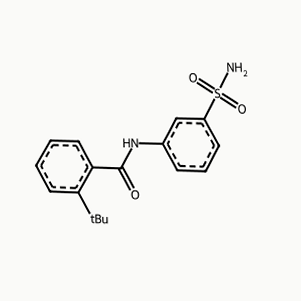 CC(C)(C)c1ccccc1C(=O)Nc1cccc(S(N)(=O)=O)c1